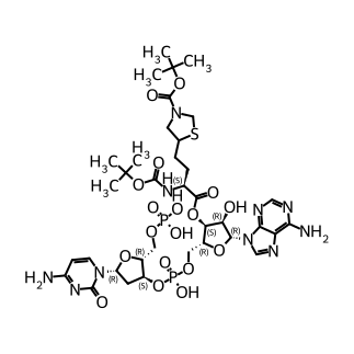 CC(C)(C)OC(=O)N[C@@H](CCC1CN(C(=O)OC(C)(C)C)CS1)C(=O)O[C@H]1[C@@H](O)[C@H](n2cnc3c(N)ncnc32)O[C@@H]1COP(=O)(O)O[C@H]1C[C@H](n2ccc(N)nc2=O)O[C@@H]1COP(=O)(O)O